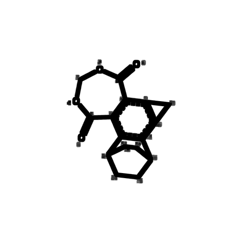 O=C1OCOC(=O)c2c1c1c(c3c2C2CCC3CC2)C1